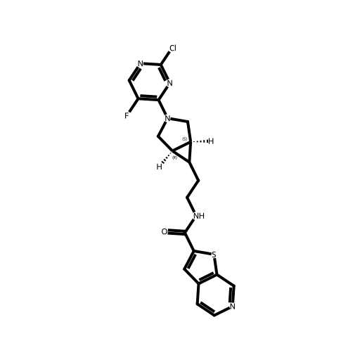 O=C(NCCC1[C@H]2CN(c3nc(Cl)ncc3F)C[C@@H]12)c1cc2ccncc2s1